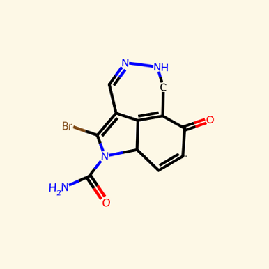 NC(=O)N1C(Br)=C2C=NNCC3=C2C1C=[C]C3=O